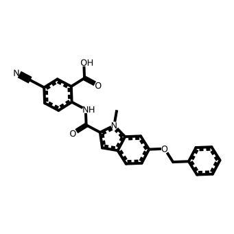 Cn1c(C(=O)Nc2ccc(C#N)cc2C(=O)O)cc2ccc(OCc3ccccc3)cc21